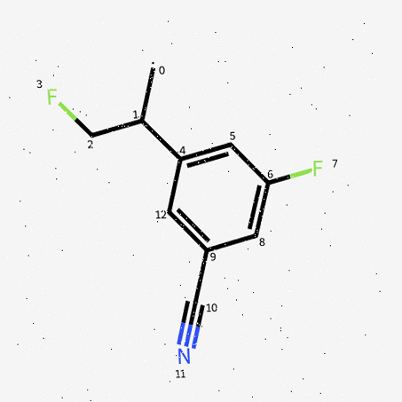 [CH2]C(CF)c1cc(F)cc(C#N)c1